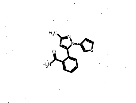 Cc1cc(-c2ccccc2C(N)=O)n(-c2ccsc2)n1